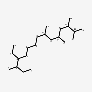 CCC(C)C(CC)CCCCC(C)CC(C)CC(C)C(C)C